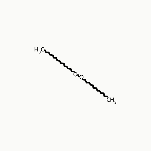 CCCCCCCCCCCCCCCCCCOCCOCCCCCCCCCCCCCCC